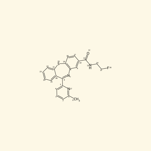 Cc1cccc(C2=Nc3cc(C(=O)NCCF)ccc3Sc3ccccc32)n1